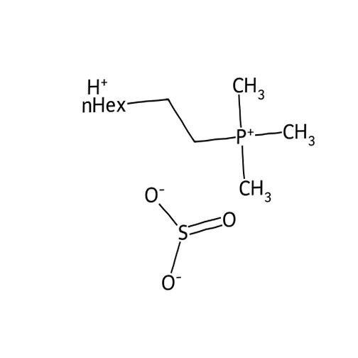 CCCCCCCC[P+](C)(C)C.O=S([O-])[O-].[H+]